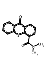 CN(C)C(=O)c1cccc2c(=O)c3ccccc3sc12